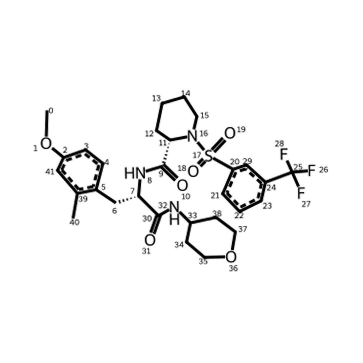 COc1ccc(C[C@H](NC(=O)[C@@H]2CCCCN2S(=O)(=O)c2cccc(C(F)(F)F)c2)C(=O)NC2CCOCC2)c(C)c1